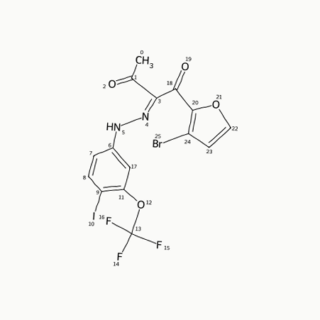 CC(=O)/C(=N\Nc1ccc(I)c(OC(F)(F)F)c1)C(=O)c1occc1Br